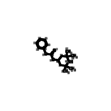 CC1(C)CC(OC(=O)Oc2ccccc2)CC(C)(C)N1